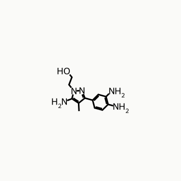 Cc1c(-c2ccc(N)c(N)c2)nn(CCO)c1N